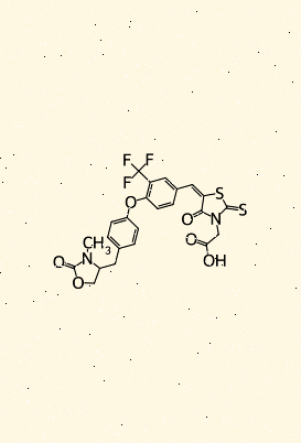 CN1C(=O)OCC1Cc1ccc(Oc2ccc(C=C3SC(=S)N(CC(=O)O)C3=O)cc2C(F)(F)F)cc1